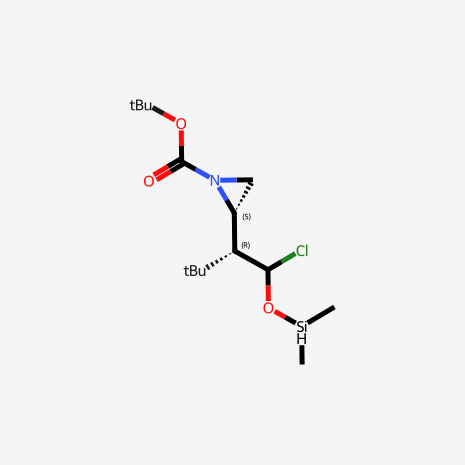 C[SiH](C)OC(Cl)[C@@H]([C@H]1CN1C(=O)OC(C)(C)C)C(C)(C)C